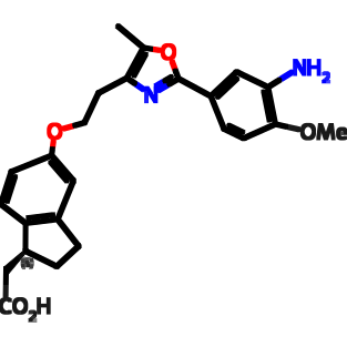 COc1ccc(-c2nc(CCOc3ccc4c(c3)CC[C@H]4CC(=O)O)c(C)o2)cc1N